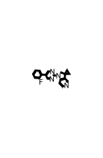 Fc1ccccc1-c1cnc(N2CC3(CC3)c3cn[c]cc32)nc1